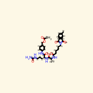 BC(=O)OCc1ccc(NC(=O)[C@H](CCCNC(N)=O)NC(=O)C(NC(=O)CCCCCN2C(=O)C3C4C=C(C)C(C4)C3C2=O)C(C)C)cc1